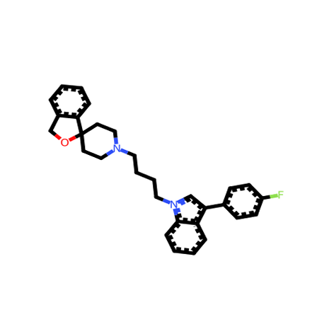 Fc1ccc(-c2cn(CCCCN3CCC4(CC3)OCc3ccccc34)c3ccccc23)cc1